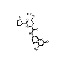 CSCC[C@H](NC(=O)[C@@H]1CCCN1)C(=O)Nc1ccc2c(C)cc(=O)oc2c1